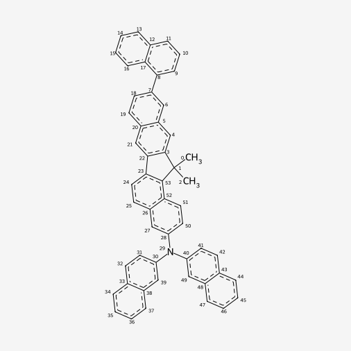 CC1(C)c2cc3cc(-c4cccc5ccccc45)ccc3cc2-c2ccc3cc(N(c4ccc5ccccc5c4)c4ccc5ccccc5c4)ccc3c21